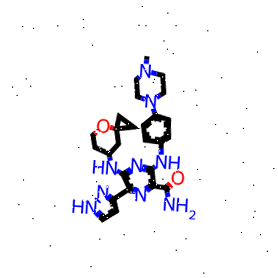 CN1CCN(c2ccc(Nc3nc(NC4CCOC5(CC5)C4)c(-c4cc[nH]n4)nc3C(N)=O)cc2)CC1